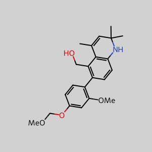 COCOc1ccc(-c2ccc3c(c2CO)C(C)=CC(C)(C)N3)c(OC)c1